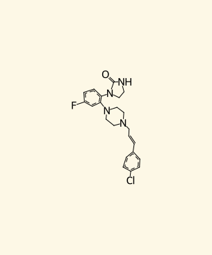 O=C1NCCN1c1ccc(F)cc1N1CCN(CC=Cc2ccc(Cl)cc2)CC1